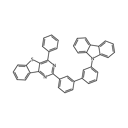 c1ccc(-c2nc(-c3cccc(-c4cccc(-n5c6ccccc6c6ccccc65)c4)c3)nc3c2sc2ccccc23)cc1